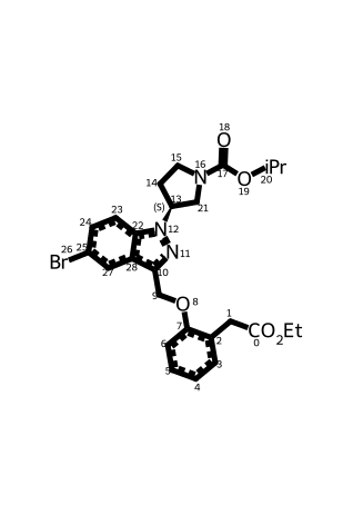 CCOC(=O)Cc1ccccc1OCc1nn([C@H]2CCN(C(=O)OC(C)C)C2)c2ccc(Br)cc12